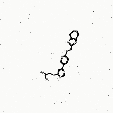 CC(C)CNc1cc(-c2ccc(NCc3nc4ccccc4[nH]3)nc2)ncn1